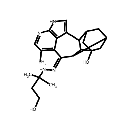 Bc1cnc2[nH]cc3c2c1/C(=N\NC(C)(C)CCO)C1C2CC4CC(O)(C2)C1C34